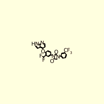 O=C1CN(c2cccc(C(F)(F)F)c2)C(=O)N1c1ccc(Oc2ccnc3[nH]ccc23)c(C(F)F)c1